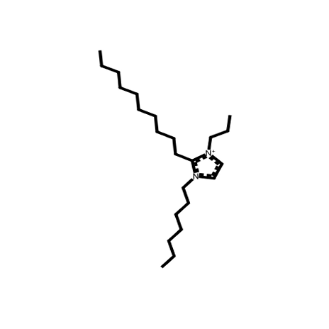 CCCCCCCCCCc1n(CCCCCCC)cc[n+]1CCC